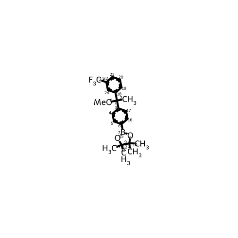 COC(C)(c1ccc(B2OC(C)(C)C(C)(C)O2)cc1)c1cccc(C(F)(F)F)c1